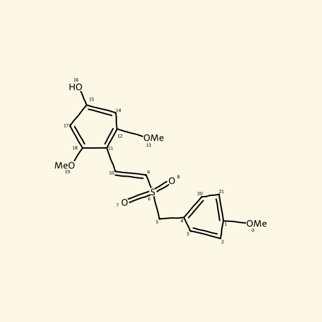 COc1ccc(CS(=O)(=O)/C=C/c2c(OC)cc(O)cc2OC)cc1